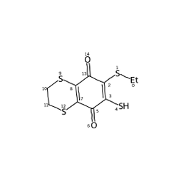 CCSC1=C(S)C(=O)C2=C(SCCS2)C1=O